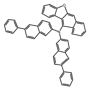 c1ccc(-c2ccc3cc(N(c4ccc5cc(-c6ccccc6)ccc5c4)c4c5ccccc5cc5oc6ccccc6c45)ccc3c2)cc1